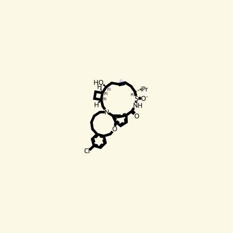 CC(C)[C@H]1C/C=C/C[C@H](O)[C@@H]2CC[C@H]2CN2CCCCc3cc(Cl)ccc3COc3ccc(cc32)C(=O)N[S+]1[O-]